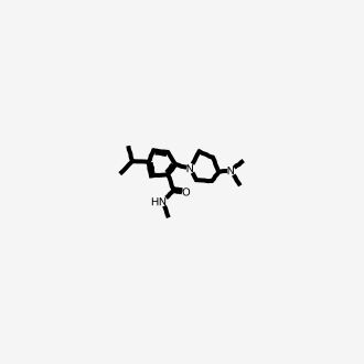 CNC(=O)c1cc(C(C)C)ccc1N1CCC(N(C)C)CC1